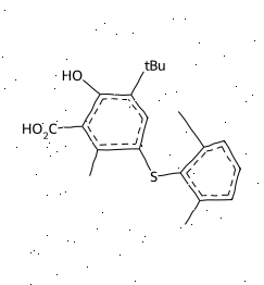 Cc1cccc(C)c1Sc1cc(C(C)(C)C)c(O)c(C(=O)O)c1C